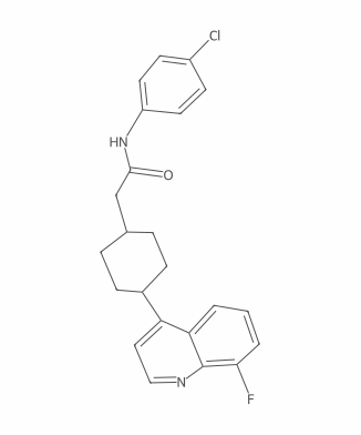 O=C(CC1CCC(c2ccnc3c(F)cccc23)CC1)Nc1ccc(Cl)cc1